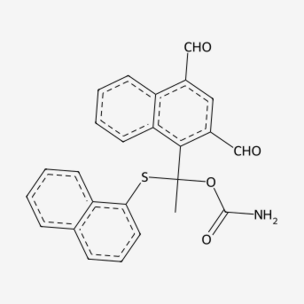 CC(OC(N)=O)(Sc1cccc2ccccc12)c1c(C=O)cc(C=O)c2ccccc12